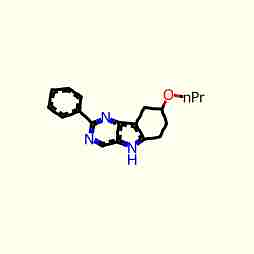 CCCOC1CCc2[nH]c3cnc(-c4ccccc4)nc3c2C1